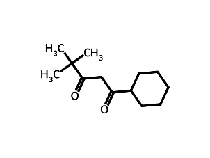 CC(C)(C)C(=O)CC(=O)C1CCCCC1